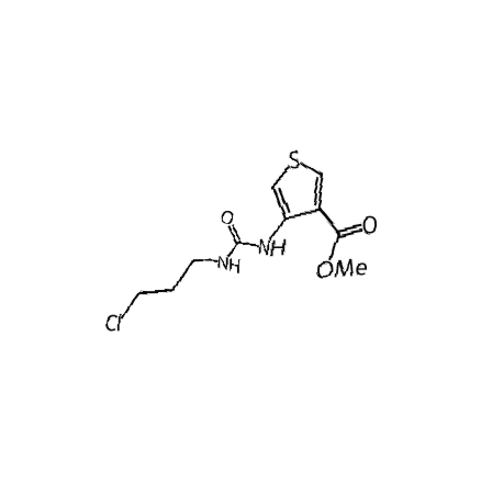 COC(=O)c1cscc1NC(=O)NCCCCl